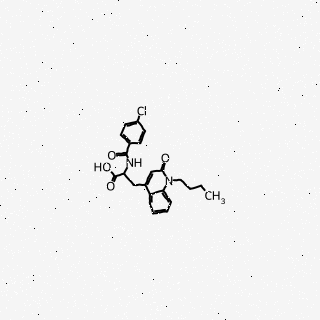 CCCCn1c(=O)cc(CC(NC(=O)c2ccc(Cl)cc2)C(=O)O)c2ccccc21